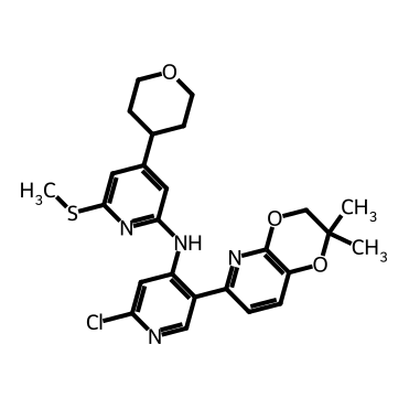 CSc1cc(C2CCOCC2)cc(Nc2cc(Cl)ncc2-c2ccc3c(n2)OCC(C)(C)O3)n1